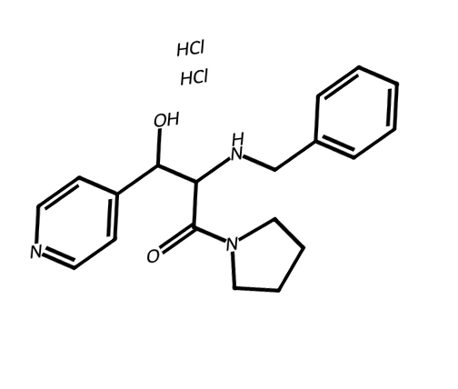 Cl.Cl.O=C(C(NCc1ccccc1)C(O)c1ccncc1)N1CCCC1